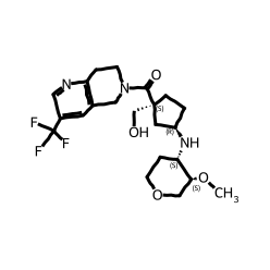 CO[C@@H]1COCC[C@@H]1N[C@@H]1CC[C@](CO)(C(=O)N2CCc3ncc(C(F)(F)F)cc3C2)C1